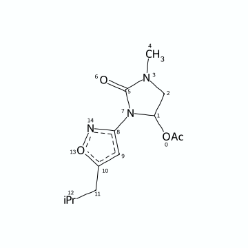 CC(=O)OC1CN(C)C(=O)N1c1cc(CC(C)C)on1